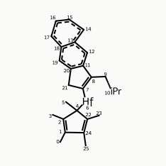 CC1=C(C)[C](C)([Hf][C]2=C(CC(C)C)c3cc4ccccc4cc3C2)C(C)=C1C